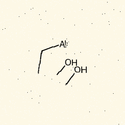 CO.CO.C[CH2][Al]